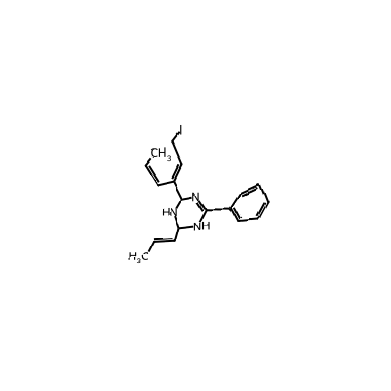 C/C=C\C(=C/CI)C1N=C(c2ccccc2)NC(/C=C/C)N1